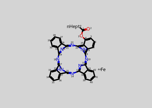 CCCCCCCC(=O)Oc1cccc2c3nc4nc(nc5[nH]c(nc6nc(nc([nH]3)c12)-c1ccccc1-6)c1ccccc51)-c1ccccc1-4.[Fe]